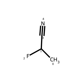 CC(F)C#N